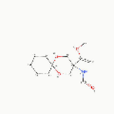 C=C(OC)C1(NC=O)COC2(CCCCC2)OC1